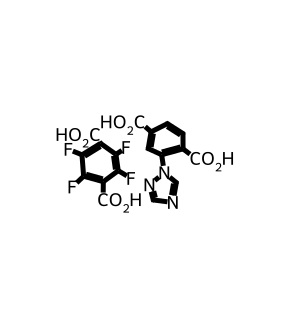 O=C(O)c1c(F)c(F)c(C(=O)O)c(F)c1F.O=C(O)c1ccc(C(=O)O)c(-n2cncn2)c1